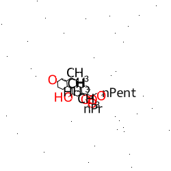 CCCCCOCC(=O)[C@@]1(OC(=O)CCC)CC[C@H]2[C@@H]3CC(C)C4=CC(=O)CC[C@]4(C)[C@H]3C(O)C[C@@]21C